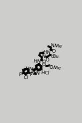 CNC(C)C(=O)NC(C(=O)N1CCCC1C(=O)Nc1cc2c(Nc3ccc(F)c(Cl)c3F)ncnc2cc1OCCOC)C(C)(C)C.Cl